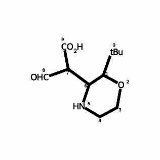 CC(C)(C)C1OCCNC1C(C=O)C(=O)O